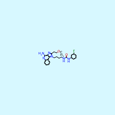 COCCc1nc2c(N)nc3ccccc3c2n1CCCCNC(=O)Nc1cccc(F)c1